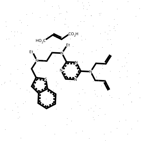 C=CCN(CC=C)c1ncnc(N(CC)CCN(CC)Cc2cc3ccccc3s2)n1.O=C(O)C=CC(=O)O